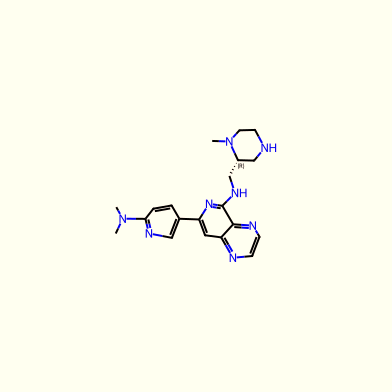 CN(C)c1ccc(-c2cc3nccnc3c(NC[C@H]3CNCCN3C)n2)cn1